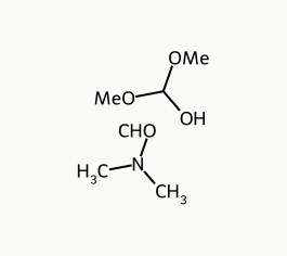 CN(C)C=O.COC(O)OC